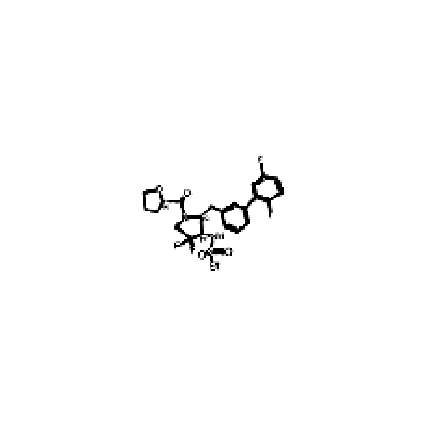 CCS(=O)(=O)N[C@@H]1[C@H](Cc2cccc(-c3cc(F)ccc3F)c2)N(C(=O)[C@H]2CCCO2)CC1(F)F